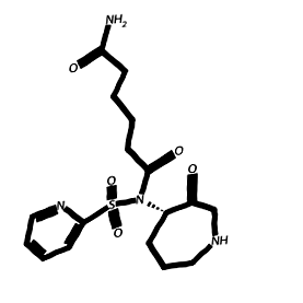 NC(=O)CCCCC(=O)N([C@H]1CCCNCC1=O)S(=O)(=O)c1ccccn1